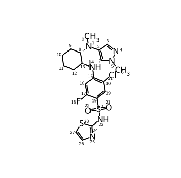 CN(c1cnn(C)c1)[C@H]1CCCC[C@@H]1Nc1cc(F)c(S(=O)(=O)Nc2nccs2)cc1Cl